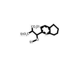 CCOC(=O)C(C(=O)OCC)C(OCC)c1ccc2c(n1)CCCC2